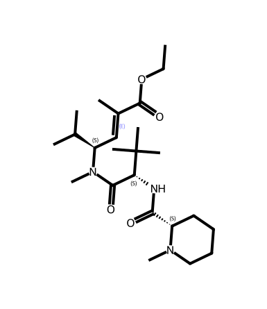 CCOC(=O)/C(C)=C/[C@H](C(C)C)N(C)C(=O)[C@@H](NC(=O)[C@@H]1CCCCN1C)C(C)(C)C